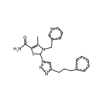 CC1=C(C(N)=O)SC(n2cc(CCCc3ccccc3)nn2)N1Cc1cccnc1